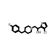 OC(CN1CCC(Cc2ccc(F)cc2)CC1)c1sccc1Cl